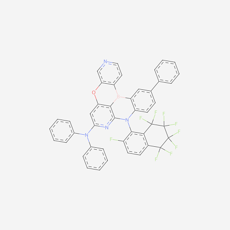 Fc1ccc2c(c1N1c3ccc(-c4ccccc4)cc3B3c4ccncc4Oc4cc(N(c5ccccc5)c5ccccc5)nc1c43)C(F)(F)C(F)(F)C(F)(F)C2(F)F